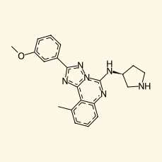 COc1cccc(-c2nc3c4c(C)cccc4nc(N[C@H]4CCNC4)n3n2)c1